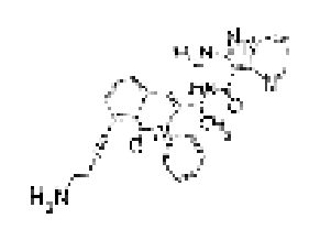 C[C@H](NC(=O)c1c(N)nn2cccnc12)c1cc2cccc(C#CCCN)c2c(=O)n1-c1ccccc1